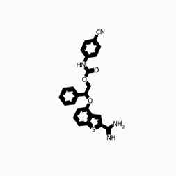 N#Cc1ccc(NC(=O)OCC(Oc2cccc3sc(C(=N)N)cc23)c2ccccc2)cc1